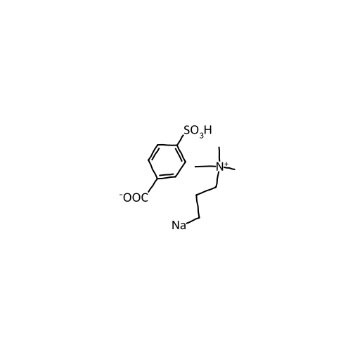 C[N+](C)(C)CC[CH2][Na].O=C([O-])c1ccc(S(=O)(=O)O)cc1